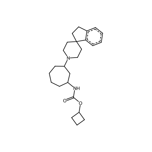 O=C(NC1CCCCC(N2CCC3(CCc4ccccc43)CC2)C1)OC1CCC1